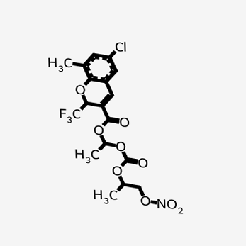 Cc1cc(Cl)cc2c1OC(C(F)(F)F)C(C(=O)OC(C)OC(=O)OC(C)CO[N+](=O)[O-])=C2